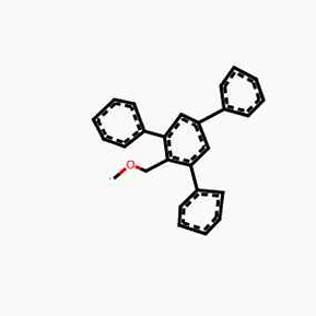 [CH2]OCc1c(-c2ccccc2)cc(-c2ccccc2)cc1-c1ccccc1